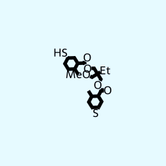 CCC(COC)(COC(=O)C1CC(S)CCC1C)COC(=O)C1CC2SC2CC1C